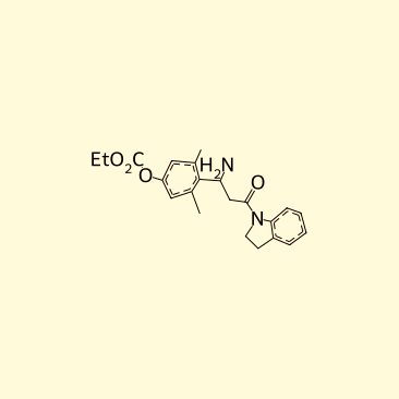 CCOC(=O)Oc1cc(C)c(C(N)CC(=O)N2CCc3ccccc32)c(C)c1